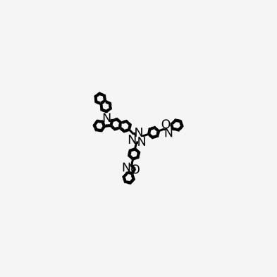 c1ccc2cc(-n3c4ccccc4c4cc5cc(-c6nc(-c7ccc(-c8nc9ccccc9o8)cc7)nc(-c7ccc(-c8nc9ccccc9o8)cc7)n6)ccc5cc43)ccc2c1